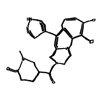 CN1CC(C(=O)N2CCn3c(c(-c4cn[nH]c4)c4ccc(Cl)c(Cl)c43)C2)CCC1=O